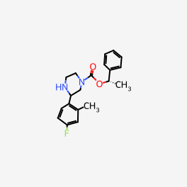 Cc1cc(F)ccc1C1CN(C(=O)O[C@@H](C)c2ccccc2)CCN1